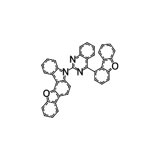 c1ccc2c(-c3cccc4oc5ccccc5c34)nc(-n3c4ccccc4c4c5oc6ccccc6c5ccc43)nc2c1